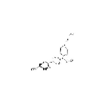 CCCc1ccc(C2CCC(C(C=O)C3CCC(CCCCl)CC3)CC2)nn1